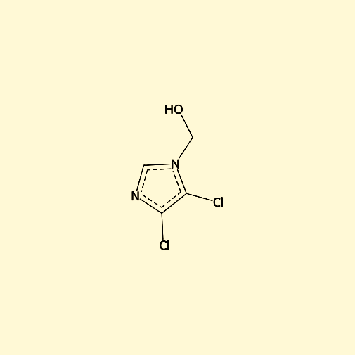 OCn1cnc(Cl)c1Cl